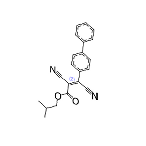 CC(C)COC(=O)/C(C#N)=C(\C#N)c1ccc(-c2ccccc2)cc1